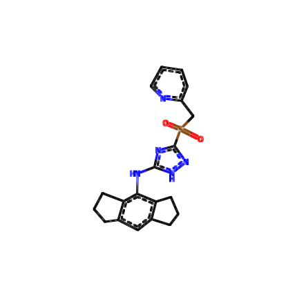 O=S(=O)(Cc1ccccn1)c1n[nH]c(Nc2c3c(cc4c2CCC4)CCC3)n1